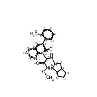 CONC(=O)C(NN1CC2CCCC2C1)n1c(=O)c(-c2ccccc2C)cc2cncnc21